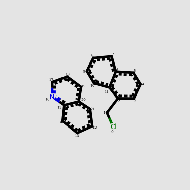 ClCc1cccc2ccccc12.c1ccc2ncccc2c1